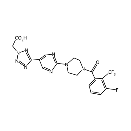 O=C(O)Cn1nnc(-c2cnc(N3CCN(C(=O)c4cccc(F)c4C(F)(F)F)CC3)nc2)n1